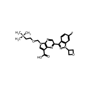 C[Si](C)(C)CCOCn1cc(C(=O)O)c2nc(-c3nn(C4COC4)c4cc(F)ccc34)cnc21